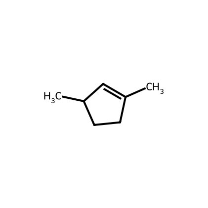 CC1=CC(C)CC1